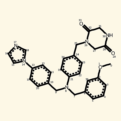 COc1cccc(CN(Cc2ccc(-n3ccnc3)cc2)c2ccc(CN3CC(=O)NCC3=O)cc2)c1